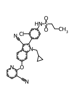 CCCS(=O)(=O)Nc1ccc(-c2c(C#N)c3ccc(Oc4ncccc4C#N)cc3n2CC2CC2)c(Cl)c1